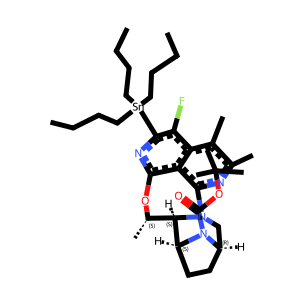 CCC[CH2][Sn]([CH2]CCC)([CH2]CCC)[c]1nc2c3c(nc(C)c(C)c3c1F)N1C[C@H]3CC[C@@H]([C@H]1[C@H](C)O2)N3C(=O)OC(C)(C)C